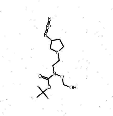 CC(C)(C)OC(=O)N(CCN1CCC(N=[N+]=[N-])C1)OCO